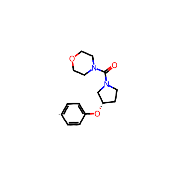 O=C(N1CCOCC1)N1CC[C@H](Oc2cc[c]cc2)C1